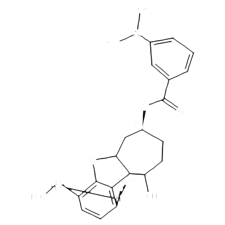 COc1ccc2c3c1OC1C[C@@H](OC(=O)c4cccc(N(C)C)c4)CCC(C)[C@@]31CCN(C)C2